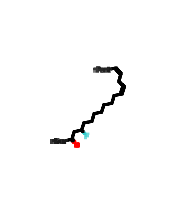 CCCCC/C=C\C/C=C\CCCCCCCC(F)CC(=O)CCCCCCCCC